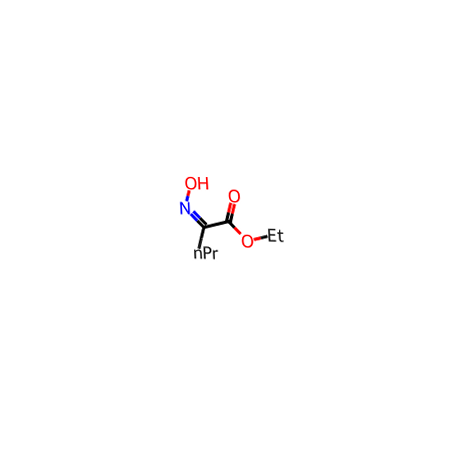 CCCC(=NO)C(=O)OCC